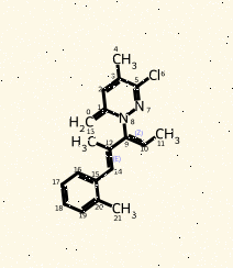 C=C1C=C(C)C(Cl)=NN1C(=C\C)/C(C)=C/c1ccccc1C